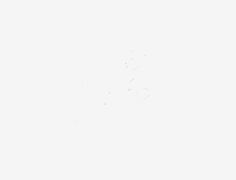 CC(CCC1OC(C)C(C)C(O)C1O)C(O)C(O)C(O)C(C)Oc1c(-c2ccc(O)c(O)c2)oc2cc(O)cc(O)c2c1=O